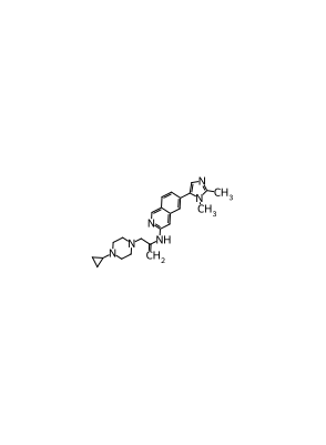 C=C(CN1CCN(C2CC2)CC1)Nc1cc2cc(-c3cnc(C)n3C)ccc2cn1